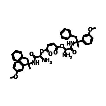 COc1cccc(C(C)(Cc2ccccc2)NC(=O)C(N)OC(=O)/C=C\C(=O)OC(N)C(=O)NC(C)(Cc2ccccc2)c2cccc(OC)c2)c1